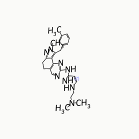 Cc1cccc(Cc2c3c(nn2C)CCc2cnc(NC(=N)/C=C\NCCN(C)C)nc2-3)c1